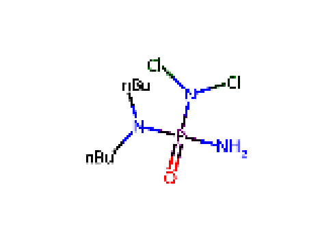 CCCCN(CCCC)P(N)(=O)N(Cl)Cl